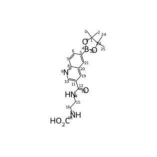 CC1(C)OB(c2ccc3ncc(C(=O)NCCNC(=O)O)cc3c2)OC1(C)C